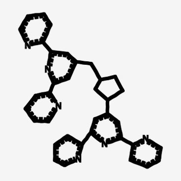 c1ccc(-c2cc(CC3CCC(c4cc(-c5ccccn5)nc(-c5ccccn5)c4)C3)cc(-c3ccccn3)n2)nc1